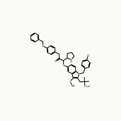 CC(C)(C)Sc1c(CC(C)(C)C(=O)O)n(Cc2ccc(Cl)cc2)c2ccc(OC(C(=O)Cc3ccc(OCc4ccccc4)cc3)C3CCCN3)cc12